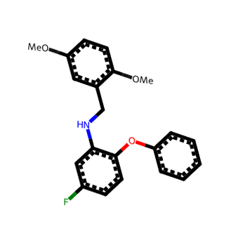 COc1ccc(OC)c(CNc2cc(F)ccc2Oc2ccccc2)c1